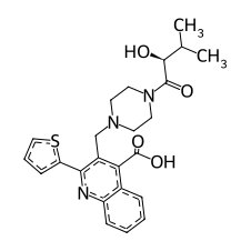 CC(C)[C@H](O)C(=O)N1CCN(Cc2c(-c3cccs3)nc3ccccc3c2C(=O)O)CC1